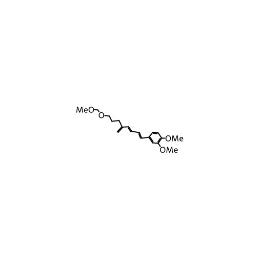 C=C(/C=C/C=C/c1ccc(OC)c(OC)c1)CCCOCOC